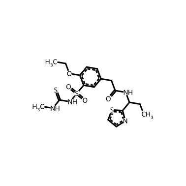 CCOc1ccc(CC(=O)NC(CC)c2nccs2)cc1S(=O)(=O)NC(=S)NC